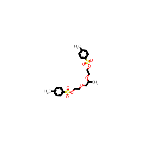 Cc1ccc(S(=O)(=O)OCCOCC(C)OCCOS(=O)(=O)c2ccc(C)cc2)cc1